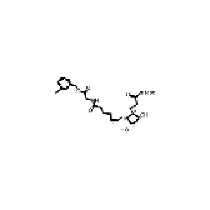 CCCCCCCC(=O)CC[C@@H]1[C@@H](C/C=C\CCCC(=O)NCC(=O)OCc2cccc(C)c2)[C@@H](O)C[C@H]1O